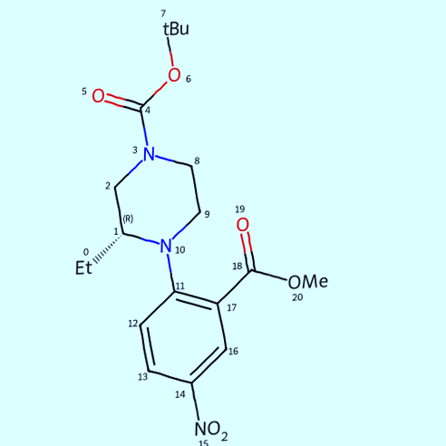 CC[C@@H]1CN(C(=O)OC(C)(C)C)CCN1c1ccc([N+](=O)[O-])cc1C(=O)OC